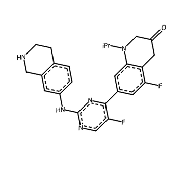 CC(C)N1CC(=O)Cc2c(F)cc(-c3nc(Nc4ccc5c(c4)CNCC5)ncc3F)cc21